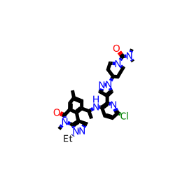 CCn1ncc2c3c(C(C)Nc4ccc(Cl)nc4-c4cnn(C5CCN(C(=O)N(C)C)CC5)c4)cc(C)cc3c(=O)n(C)c21